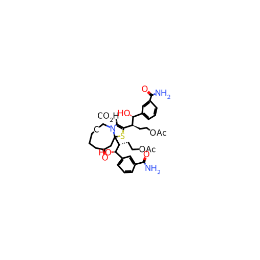 CC(=O)OCC[C@H]([C@H](O)c1cccc(C(N)=O)c1)C12CC(=O)CCCCCN1C(C(=O)O)=C([C@H](CCOC(C)=O)[C@H](O)c1cccc(C(N)=O)c1)S2